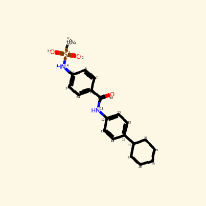 CC(C)(C)S(=O)(=O)Nc1ccc(C(=O)Nc2ccc(C3CCCCC3)cc2)cc1